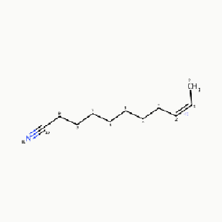 C/C=C\CCCCCCCC#N